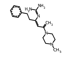 C=C(/C=C(/CCc1ccccc1)N=C(N)N)N1CCN(C)CC1